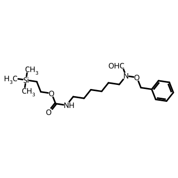 C[Si](C)(C)CCOC(=O)NCCCCCCN(C=O)OCc1ccccc1